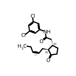 CC/C=C\C[C@@H]1C(=O)CC[C@H]1CC(=O)Nc1cc(Cl)cc(Cl)c1